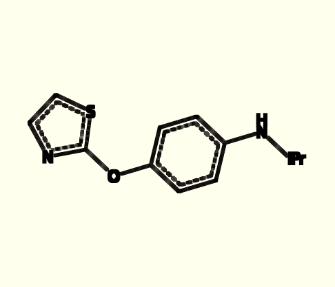 CC(C)Nc1ccc(Oc2nccs2)cc1